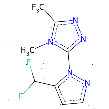 Cn1c(-n2nc[c]c2C(F)F)nnc1C(F)(F)F